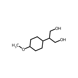 COC1CCC(C(CO)CO)CC1